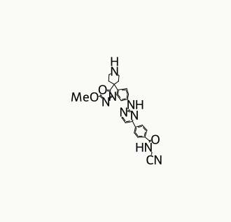 COc1nnc(C2(c3ccc(Nc4nccc(-c5ccc(C(=O)NCC#N)cc5)n4)cc3)CCNCC2)o1